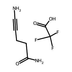 NC#CCCC(N)=O.O=C(O)C(F)(F)F